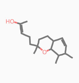 C/C(O)=C\CCC1(C)CCC2C=CC(C)C(C)C2O1